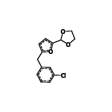 Clc1cccc(Cc2ccc(C3OCCO3)o2)c1